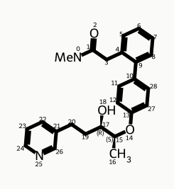 CNC(=O)Cc1ccccc1-c1ccc(O[C@@H](C)[C@H](O)CCc2cccnc2)cc1